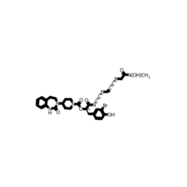 CN(O)C(=O)CN=C=C=CN=C=C=NC(=O)[C@@H](Cc1ccc(O)c(Br)c1)OC(=O)N1CCC(N2CCc3ccccc3NC2=O)CC1